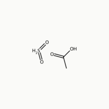 CC(=O)O.O=[SH2]=O